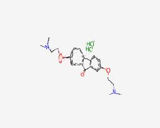 CN(C)CCOc1ccc2c(c1)C(=O)c1cc(OCCN(C)C)ccc1-2.Cl.Cl